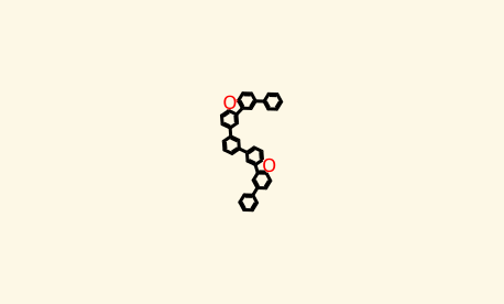 c1ccc(-c2ccc3oc4ccc(-c5cccc(-c6ccc7oc8ccc(-c9ccccc9)cc8c7c6)c5)cc4c3c2)cc1